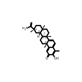 C=C(N)[C@]1(C)CC[C@]2(C)CC[C@]3(C)C4=CC=C5C(=CC(=O)C(O)=C5C)[C@]4(C)CC[C@@]3(C)[C@@H]2C1